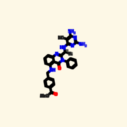 CC[C@H](Nc1nc(N)nc(N)c1C#N)c1nc2cccc(NCc3ccc(C(=O)OC)cc3)c2c(=O)n1-c1ccccc1